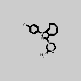 CC1CN(c2nn(-c3ccc(Cl)cc3)c3/c2=C\C=C/CC/C=3)CCO1